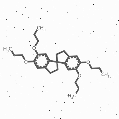 CCCOc1cc2c(cc1OCCC)C1(CC2)CCc2cc(OCCC)c(OCCC)cc21